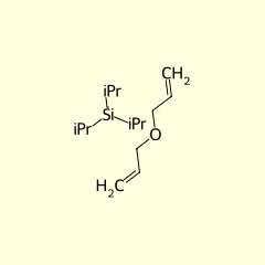 C=CCOCC=C.CC(C)[Si](C(C)C)C(C)C